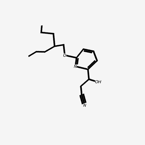 CCCC(CCC)COc1cccc(C(O)CC#N)n1